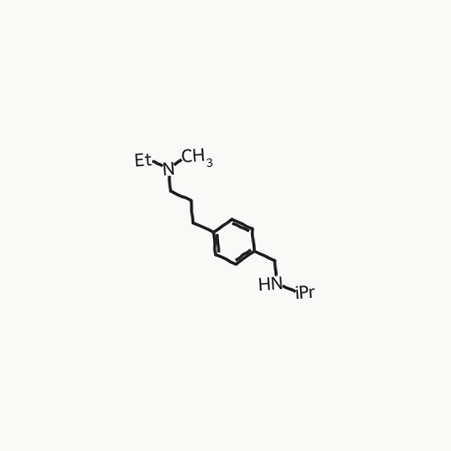 CCN(C)CCCc1ccc(CNC(C)C)cc1